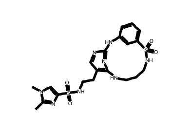 Cc1nc(S(=O)(=O)NCCc2cnc3nc2NCCCNS(=O)(=O)c2cccc(c2)N3)cn1C